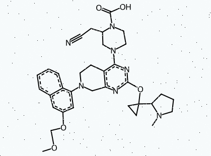 COCOc1cc(N2CCc3c(nc(OC4(C5CCCN5C)CC4)nc3N3CCN(C(=O)O)C(CC#N)C3)C2)c2ccccc2c1